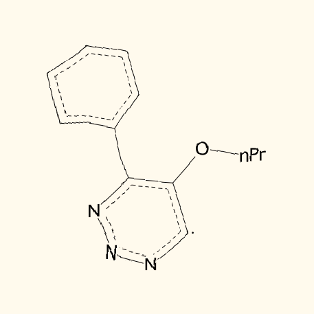 CCCOc1[c]nnnc1-c1ccccc1